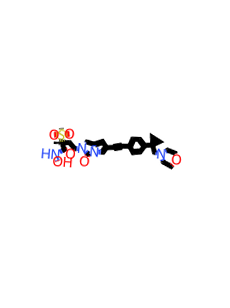 C[C@@](CCN1Cc2cc(C#Cc3ccc(C4(CN5CCOCC5)CC4)cc3)cn2C1=O)(C(=O)NO)S(C)(=O)=O